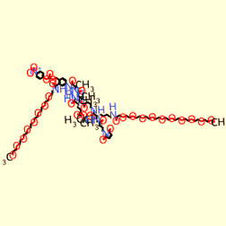 COCCOCCOCCOCCOCCOCCOCCOCCNC(=O)c1cc(NC(=O)[C@H](C)NC(=O)[C@@H](NC(=O)[C@H](CCC(=O)OC(C)(C)C)NC(=O)CCCNC(=O)[C@H](CCCCNC(=O)COCCOCCOCCOCCOCCOCCOCCOCCOCCOC)NC(=O)CCCN2C(=O)C=CC2=O)C(C)C)ccc1COC(=O)Oc1ccc([N+](=O)[O-])cc1